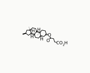 C=C1C[C@H]2[C@@H]3CC[C@@H]4C[C@H](OC(=O)CCC(=O)O)CC[C@]4(C)[C@H]3CC[C@]2(C)C1